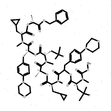 C[C@@H](OC(=O)[C@H](CC1CC1)N(C)C(=O)[C@@H](Cc1ccc(N2CCOCC2)cc1)OC(=O)[C@H](CC(C)(C)F)N(C)C(=O)[C@@H](C)OC(=O)[C@H](CC1CC1)N(C)C(=O)C(Cc1ccc(N2CCOCC2)cc1)OC(=O)[C@H](CC(C)(C)F)N(C)C(=O)OC(C)(C)C)C(=O)OCc1ccccc1